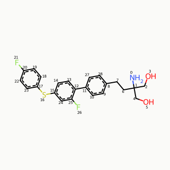 NC(CO)(CO)CCc1ccc(-c2ccc(Sc3ccc(F)cc3)cc2F)cc1